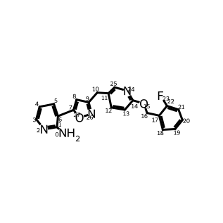 Nc1ncccc1-c1cc(Cc2ccc(OCc3ccccc3F)nc2)no1